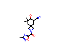 Cc1noc(C(=O)N2CC3(C=C(C#N)C(=O)C(C)(C)C3)C2)n1